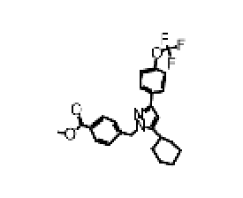 COC(=O)c1ccc(Cn2nc(-c3ccc(OC(F)(F)F)cc3)cc2C2CCCCC2)cc1